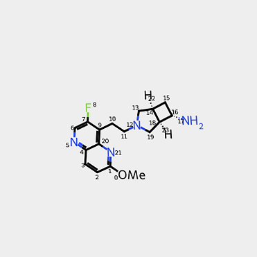 COc1ccc2ncc(F)c(CCN3C[C@H]4C[C@H](N)[C@H]4C3)c2n1